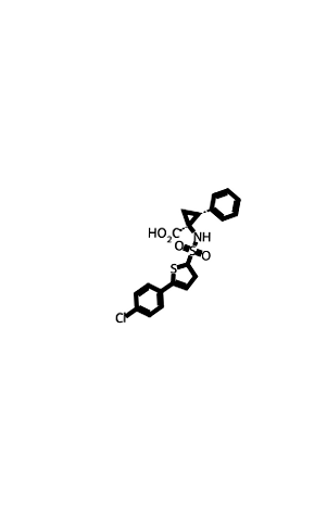 O=C(O)[C@]1(NS(=O)(=O)C2CC=C(c3ccc(Cl)cc3)S2)C[C@@H]1c1ccccc1